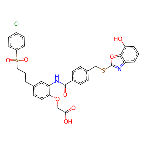 O=C(O)COc1ccc(CCCS(=O)(=O)c2ccc(Cl)cc2)cc1NC(=O)c1ccc(CSc2nc3cccc(O)c3o2)cc1